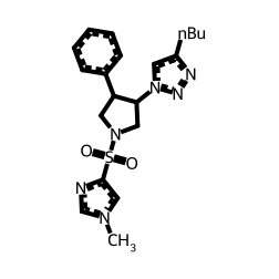 CCCCc1cn(C2CN(S(=O)(=O)c3cn(C)cn3)CC2c2ccccc2)nn1